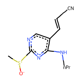 CCCNc1nc([S+](C)[O-])ncc1C=CC#N